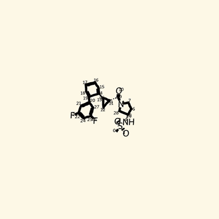 CS(=O)(=O)N[C@H]1CCN(C(=O)[C@@H]2C[C@H]2c2ccccc2-c2cc(F)cc(F)c2)C1